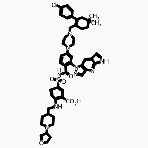 CC1(C)CCC(CN2CCN(c3ccc(C(=O)NS(=O)(=O)c4ccc(NCC5CCN(C6CCOC6)CC5)c(C(=O)O)c4)c(-n4ncc5nc6[nH]ccc6cc54)c3)CC2)=C(c2ccc(Cl)cc2)C1